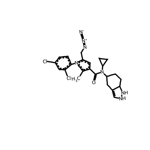 Cc1c(C(=O)N(C2CC2)C2CCC3NNC=C3C2)cc(CN=[N+]=[N-])n1-c1ccc(Cl)cc1Cl